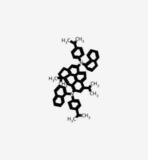 CC(C)c1ccc(N(C2=C3C=CC=CC3CC=C2)c2cc3c4c(cc5c(N(c6ccc(C(C)C)cc6)c6cccc7ccccc67)cc(C(C)C)c6ccc2c4c65)C(C)(C)CC3)cc1